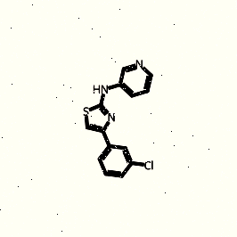 Clc1cccc(-c2csc(Nc3cccnc3)n2)c1